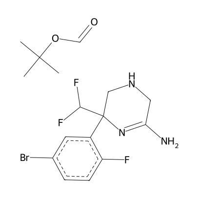 CC(C)(C)OC=O.NC1=NC(c2cc(Br)ccc2F)(C(F)F)CNC1